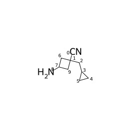 N#CC1(CC2CC2)CC(N)C1